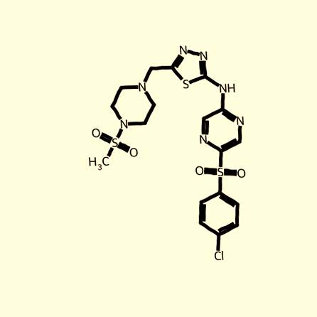 CS(=O)(=O)N1CCN(Cc2nnc(Nc3cnc(S(=O)(=O)c4ccc(Cl)cc4)cn3)s2)CC1